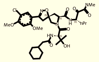 CCC[C@H](NC(=O)[C@@H]1C[C@]2(CC(c3cc(Cl)c(OC)cc3OC)=NO2)CN1C(=O)[C@@H](NC(=O)CC1CCCCC1)C(C)(C)O)C(=O)C(=O)NC